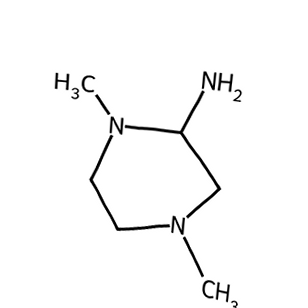 CN1CCN(C)C(N)C1